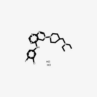 CCN(CC)CC1CCN(N2C=Nc3ncnc(Nc4ccc(F)c(Cl)c4)c3C2)CC1.Cl.Cl